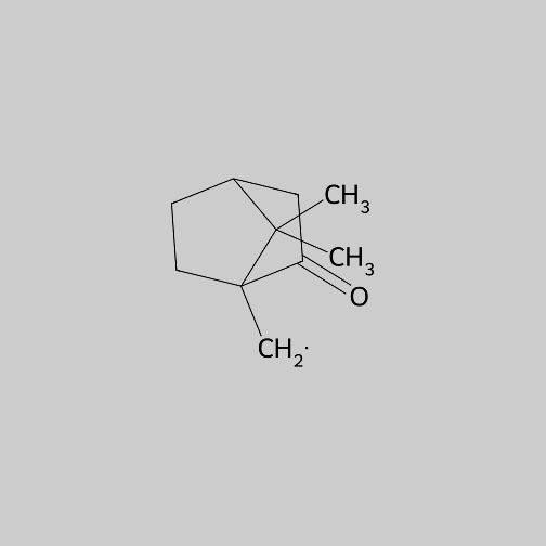 [CH2]C12CCC(CC1=O)C2(C)C